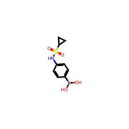 O=S(=O)(Nc1ccc(B(O)O)cc1)C1CC1